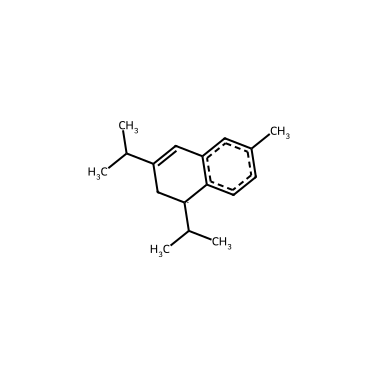 Cc1ccc2c(c1)C=C(C(C)C)C[C]2C(C)C